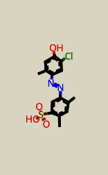 Cc1cc(O)c(Cl)cc1N=Nc1cc(S(=O)(=O)O)c(C)cc1C